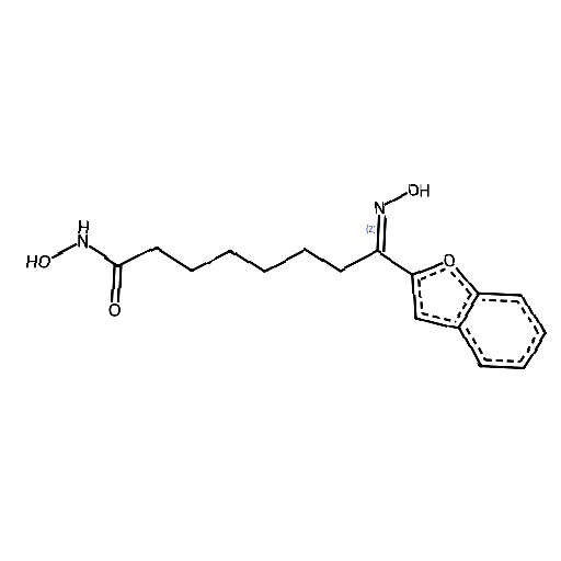 O=C(CCCCCC/C(=N/O)c1cc2ccccc2o1)NO